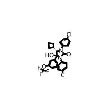 O=C1N(c2ccc(Cl)cc2)[C@@H](C2CCC2)C(O)(c2cccc(OC(F)(F)F)c2)N1c1ccc(Cl)cc1